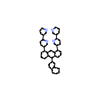 c1cncc(-c2ccc(-c3cccc4c(-c5ccc6ccccc6c5)c5cccc(-c6ccc(-c7cccnc7)nc6)c5cc34)cn2)c1